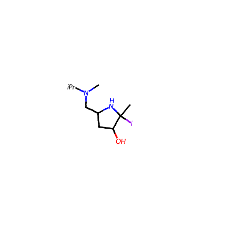 CC(C)N(C)CC1CC(O)C(C)(I)N1